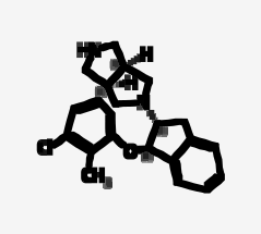 Cc1c(Cl)cccc1O[C@@H]1c2ccccc2C[C@H]1N1C[C@H]2CNC[C@H]2C1